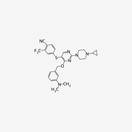 CN(C)c1cccc(COc2nc(N3CCN(C4CC4)CC3)ncc2Sc2ccc(C#N)c(C(F)(F)F)c2)c1